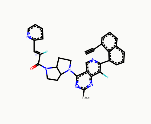 C#Cc1cccc2cccc(-c3ncc4c(N5CCC6C5CCN6C(=O)/C(F)=C/c5ccccn5)nc(OC)nc4c3F)c12